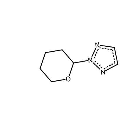 c1cnn(C2CCCCO2)n1